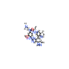 C=CC(=O)Nc1cc(Nc2ncc(-c3cc(C)nn3C)c(-c3cn4c5c(cccc35)CCC4)n2)c(OC)cc1N(C)CCN(C)C